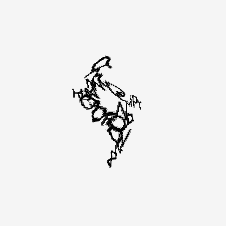 Cc1cccc(C)c1-c1cc2nc(n1)NS(=O)(=O)c1cccc(c1)C(=O)N(C1CCC1c1nc(N(C)C3CC4(CC4)C3)ccc1F)[C@H](CC(C)C)CO2